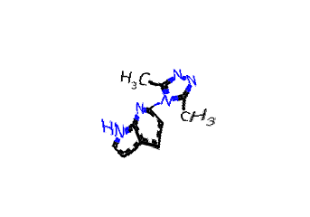 Cc1nnc(C)n1-c1ccc2cc[nH]c2n1